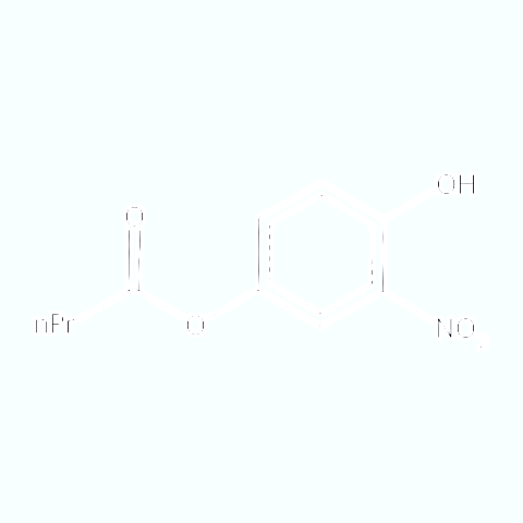 CCCC(=O)Oc1ccc(O)c([N+](=O)[O-])c1